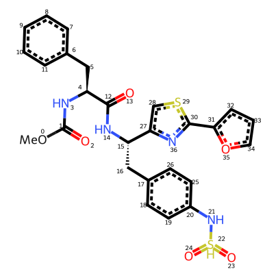 COC(=O)N[C@@H](Cc1ccccc1)C(=O)N[C@@H](Cc1ccc(N[SH](=O)=O)cc1)c1csc(-c2ccco2)n1